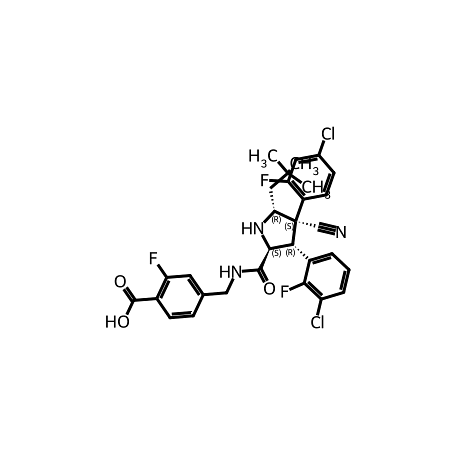 CC(C)(C)C[C@H]1N[C@H](C(=O)NCc2ccc(C(=O)O)c(F)c2)[C@@H](c2cccc(Cl)c2F)[C@]1(C#N)c1ccc(Cl)cc1F